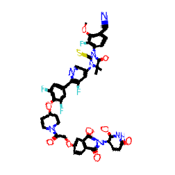 COc1c(C#N)ccc(N2C(=O)C(C)(C)N(c3cnc(-c4cc(F)c(OC5CCN(C(=O)COc6ccc7c(c6)C(=O)N(C6CCC(=O)NC6=O)C7=O)CC5)c(F)c4)c(F)c3)C2=S)c1F